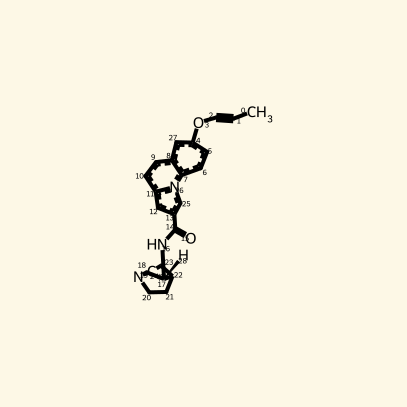 CC#COc1ccc2c(ccc3cc(C(=O)N[C@H]4CN5CCC4CC5)cn32)c1